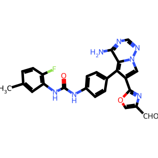 Cc1ccc(F)c(NC(=O)Nc2ccc(-c3c(-c4nc(C=O)co4)cn4ncnc(N)c34)cc2)c1